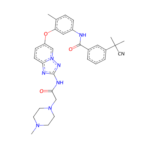 Cc1ccc(NC(=O)c2cccc(C(C)(C)C#N)c2)cc1Oc1ccc2nc(NC(=O)CN3CCN(C)CC3)nn2c1